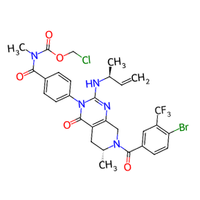 C=C[C@H](C)Nc1nc2c(c(=O)n1-c1ccc(C(=O)N(C)C(=O)OCCl)cc1)C[C@@H](C)N(C(=O)c1ccc(Br)c(C(F)(F)F)c1)C2